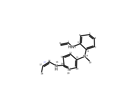 C=CNc1ccccc1N(C)c1ccc(N/C=C\C)nc1